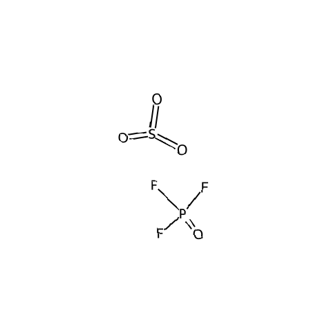 O=P(F)(F)F.O=S(=O)=O